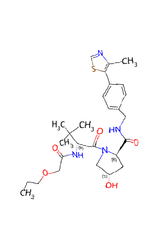 CCCOCC(=O)N[C@@H](C(=O)N1C[C@@H](O)C[C@@H]1C(=O)NCc1ccc(-c2scnc2C)cc1)C(C)(C)C